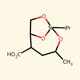 CC1CC(C(=O)O)C2CO[Si](C(C)C)(O1)O2